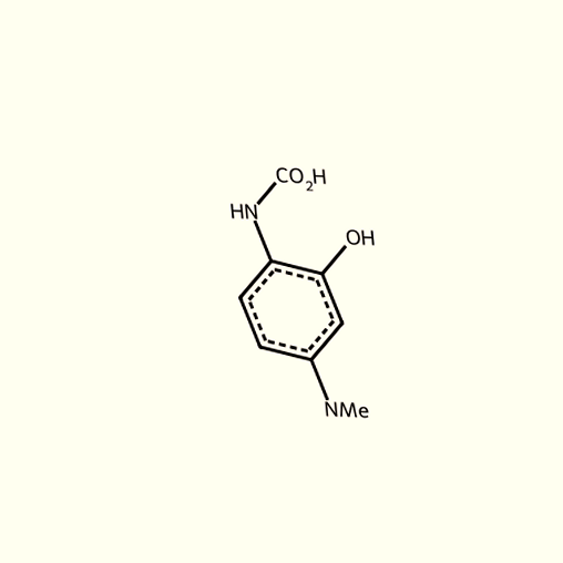 CNc1ccc(NC(=O)O)c(O)c1